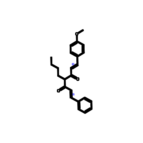 CCCCC(C(=O)/C=C/c1ccccc1)C(=O)/C=C/c1ccc(OC)cc1